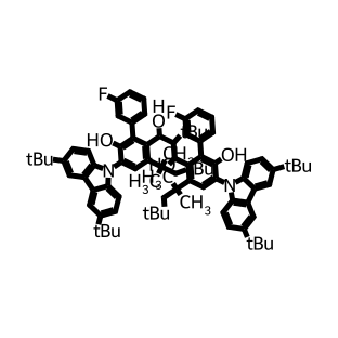 CC(C)(C)CC(C)(C)c1cc(-n2c3ccc(C(C)(C)C)cc3c3cc(C(C)(C)C)ccc32)c(O)c(-c2cccc(F)c2)c1C(O)C(C(O)c1c(C(C)(C)CC(C)(C)C)cc(-n2c3ccc(C(C)(C)C)cc3c3cc(C(C)(C)C)ccc32)c(O)c1-c1cccc(F)c1)C(C)(C)C